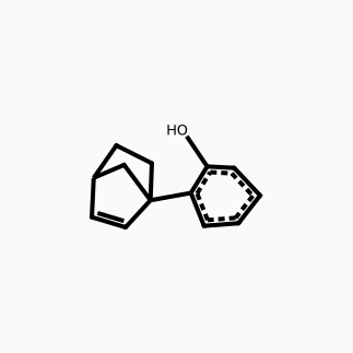 Oc1ccccc1C12C=CC(CC1)C2